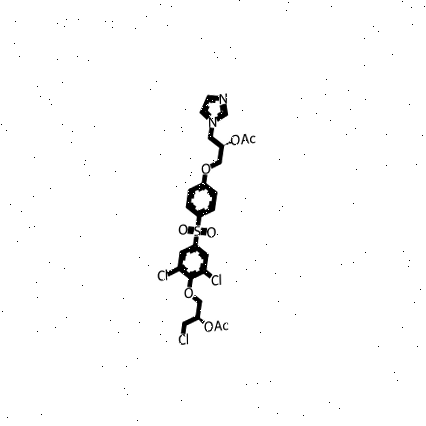 CC(=O)O[C@H](COc1ccc(S(=O)(=O)c2cc(Cl)c(OC[C@H](CCl)OC(C)=O)c(Cl)c2)cc1)Cn1ccnc1